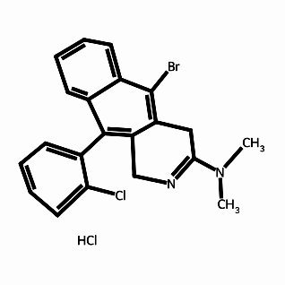 CN(C)C1=NCc2c(c(Br)c3ccccc3c2-c2ccccc2Cl)C1.Cl